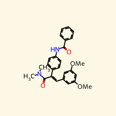 COc1cc(C=C(C(=O)N(C)C)c2ccc(NC(=O)c3ccccc3)cc2)cc(OC)c1